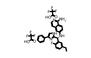 CCc1ccc(F)c([C@@H](Nc2ccc3c(N)nccc3c2)c2nc(-c3ccccc3)c[nH]2)c1.O=C(O)C(F)(F)F.O=C(O)C(F)(F)F